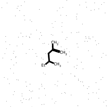 [CH2]C(=C)CC(C)CC